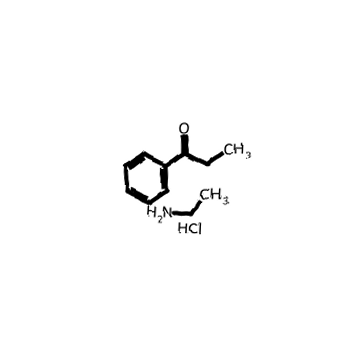 CCC(=O)c1ccccc1.CCN.Cl